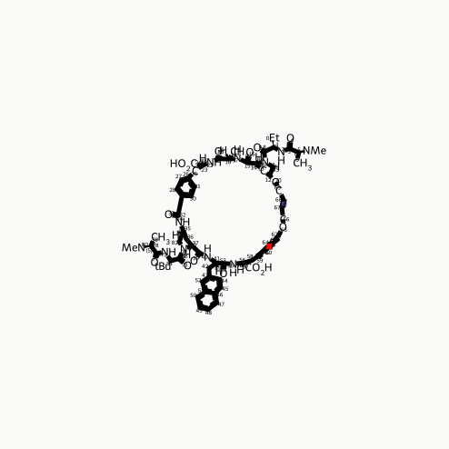 CC[C@H](NC(=O)[C@H](C)NC)C(=O)N1C[C@@H]2C[C@H]1C(=O)N[C@@H](C)C(=O)N[C@H](C(=O)O)Cc1ccc(cc1)C(=O)N[C@H]1C[C@@H](C(=O)N[C@@H](Cc3ccc4ccccc4c3)C(=O)N[C@H](C(=O)O)Cc3ccc(cc3)OC/C=C/CO2)N(C(=O)[C@@H](NC(=O)[C@H](C)NC)C(C)(C)C)C1